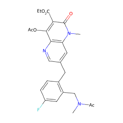 CCOC(=O)c1c(OC(C)=O)c2ncc(Cc3ccc(F)cc3CN(C)C(C)=O)cc2n(C)c1=O